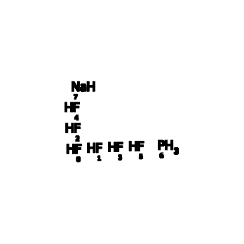 F.F.F.F.F.F.P.[NaH]